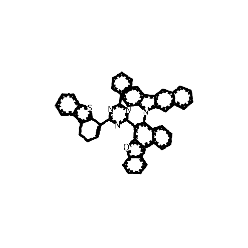 C1=C(c2nc(-c3ccccc3)nc(-c3c(-n4c5ccccc5c5cc6ccccc6cc54)c4ccccc4c4c3oc3ccccc34)n2)c2sc3ccccc3c2CC1